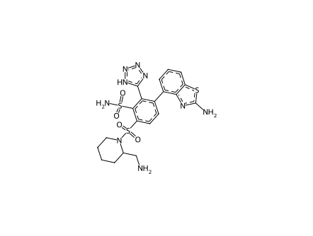 NCC1CCCCN1S(=O)(=O)c1ccc(-c2cccc3sc(N)nc23)c(-c2nnn[nH]2)c1S(N)(=O)=O